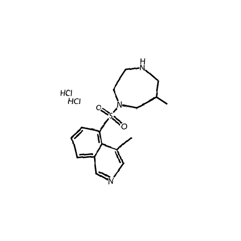 Cc1cncc2cccc(S(=O)(=O)N3CCNCC(C)C3)c12.Cl.Cl